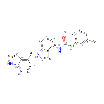 O=C(Nc1cc(Br)ccc1F)Nc1cccc2c1ccn2Cc1ccnc2[nH]ccc12